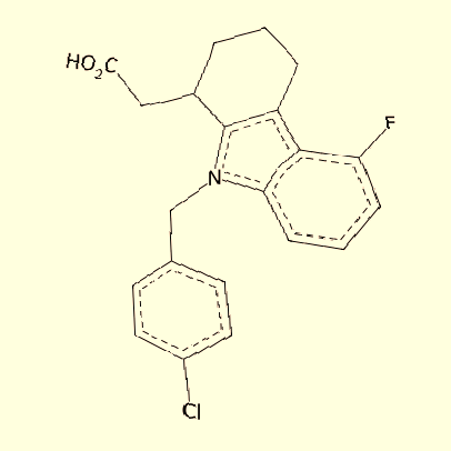 O=C(O)CC1CCCc2c1n(Cc1ccc(Cl)cc1)c1cccc(F)c21